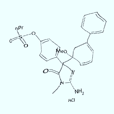 CCCS(=O)(=O)Oc1ccc(C2(C3(OC)C=CC=C(c4ccccc4)C3)N=C(N)N(C)C2=O)cc1.Cl